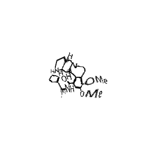 COc1cc(C(=O)N[C@H](C)c2ccccc2)c2c(c1OC)CCN1C[C@H]3CCCN[C@H]3C[C@@H]21